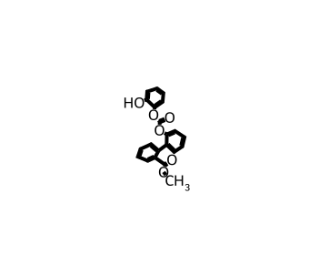 COC(=O)c1ccccc1-c1ccccc1OC(=O)Oc1ccccc1O